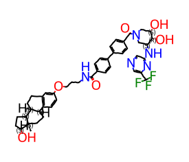 C[C@]12CC[C@@H]3c4ccc(OCCCNC(=O)c5ccc(-c6ccc(C(=O)N7C[C@H](Nc8cncc(C(F)(F)F)n8)[C@@H](O)[C@@H](O)C7)cc6)cc5)cc4CC[C@H]3[C@@H]1CC[C@@H]2O